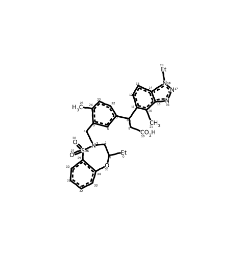 CCC1CN(Cc2cc(C(CC(=O)O)c3ccc4c(nnn4CC)c3C)ccc2C)S(=O)(=O)c2ccccc2O1